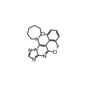 Fc1cccc(Cl)c1-c1c(Cl)nc2ncnn2c1N1CCCCCC1